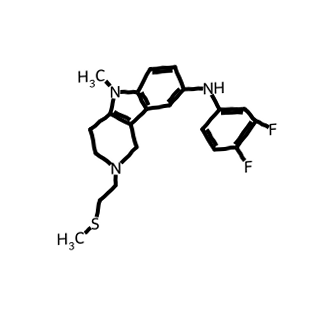 CSCCN1CCc2c(c3cc(Nc4ccc(F)c(F)c4)ccc3n2C)C1